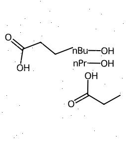 CCC(=O)O.CCCC(=O)O.CCCCO.CCCO